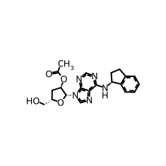 CC(=O)O[C@@H]1C[C@@H](CO)O[C@H]1n1cnc2c(N[C@H]3CCc4ccccc43)ncnc21